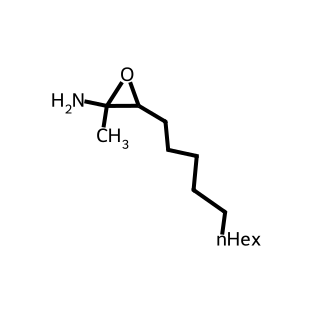 CCCCCCCCCCCC1OC1(C)N